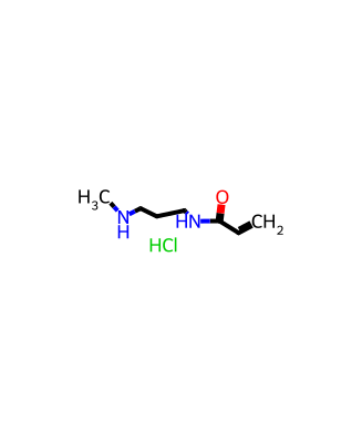 C=CC(=O)NCCCNC.Cl